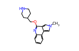 Cn1cc2c(OCC3CCNCC3)nc3ccccc3c2c1